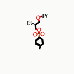 CC[C@@H](COC(C)C)COS(=O)(=O)c1ccc(C)cc1